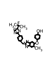 Cc1cc2nn(Cc3ccc(-c4noc(C(C)(C)F)n4)cc3)nc2cc1Oc1ccc(O)cc1